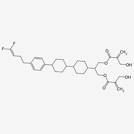 C=C(CO)C(=O)OCC(COC(=O)C(=C)CO)C1CCC(C2CCC(c3ccc(CCC=C(F)F)cc3)CC2)CC1